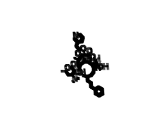 CC(=O)/N=C1\[C@H](C)C[C@@]2(C)OC/C(=C/C=C/c3ccccc3)CC[C@H]([C@H]1C)[C@](C)(O)[C@@H](I)OC(=O)[C@H](C)[C@@H](OC(=O)Cc1cccnc1)[C@H](C)[C@H]2O[C@@H]1O[C@H](C)C[C@H](N(C)C)[C@H]1O